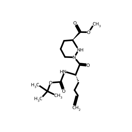 C=CCC[C@H](NC(=O)OC(C)(C)C)C(=O)N1CCC[C@@H](C(=O)OC)N1